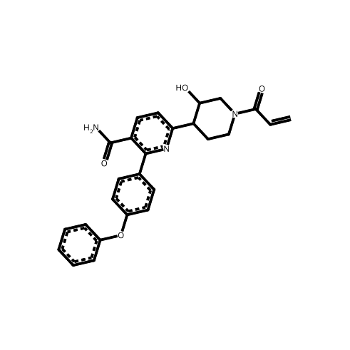 C=CC(=O)N1CCC(c2ccc(C(N)=O)c(-c3ccc(Oc4ccccc4)cc3)n2)C(O)C1